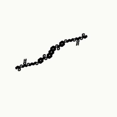 C=CC(=O)OCC(O)COCCCCOc1ccc(C(=O)Oc2ccc3cc4cc(OC(=O)c5ccc(OCCCCOCC(O)COC(=O)C=C)cc5)ccc4cc3c2)cc1